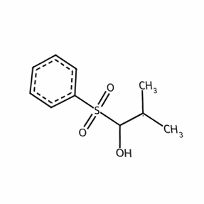 C[C](C)C(O)S(=O)(=O)c1ccccc1